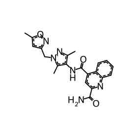 Cc1cc(Cn2nc(C)c(NC(=O)c3cc(C(N)=O)nc4ccccc34)c2C)no1